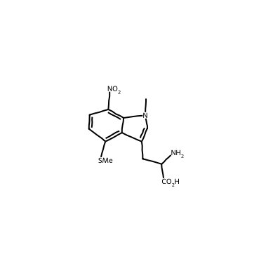 CSc1ccc([N+](=O)[O-])c2c1c(CC(N)C(=O)O)cn2C